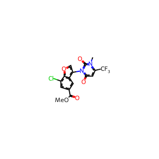 COC(=O)c1cc(Cl)c2occ(-n3c(=O)cc(C(F)(F)F)n(C)c3=O)c2c1